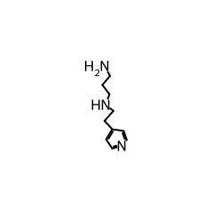 NCCCNCCc1ccncc1